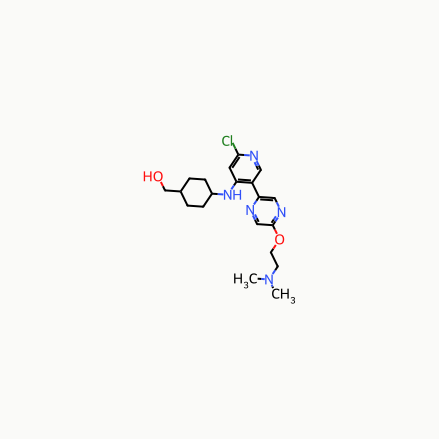 CN(C)CCOc1cnc(-c2cnc(Cl)cc2NC2CCC(CO)CC2)cn1